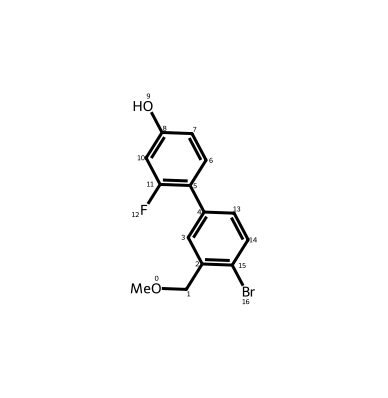 COCc1cc(-c2ccc(O)cc2F)ccc1Br